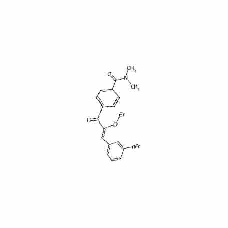 CCCc1cccc(C=C(OCC)C(=O)c2ccc(C(=O)N(C)C)cc2)c1